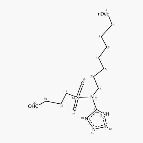 CCCCCCCCCCCCCCCCCN(c1nnn[nH]1)S(=O)(=O)CCCC=O